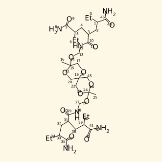 CCC(CC(CC(CC)C(N)=O)C(=O)NCOC1(C)COC2(CO1)COC(C)(OCNC(=O)C(CC(CC)C(N)=O)CC(CC)C(N)=O)OC2)C(N)=O